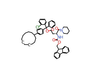 O=C(C[C@H](NC(=O)OCC1c2ccccc2-c2ccccc21)C(=O)N1CCCCC1)OC(c1ccccc1)(c1ccc(C2CCCCCCCCCCC2)cc1)c1ccccc1Cl